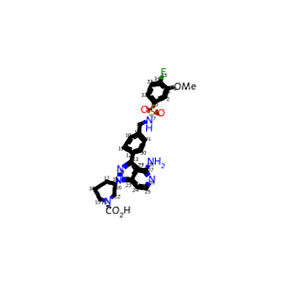 COc1cc(S(=O)(=O)NCc2ccc(-c3nn([C@@H]4CCCN(C(=O)O)C4)c4ccnc(N)c34)cc2)ccc1F